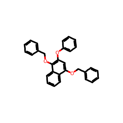 c1ccc(COc2cc(Oc3ccccc3)c(OCc3ccccc3)c3ccccc23)cc1